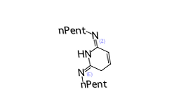 CCCCC/N=C1/C=CC/C(=N\CCCCC)N1